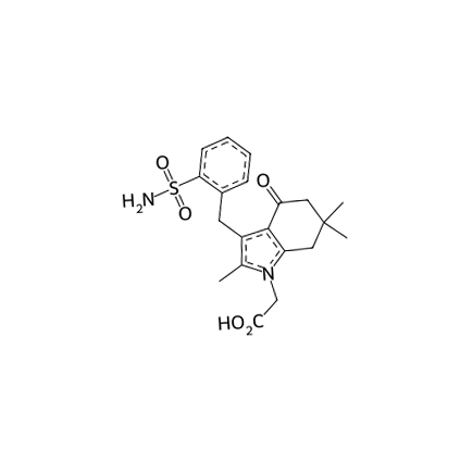 Cc1c(Cc2ccccc2S(N)(=O)=O)c2c(n1CC(=O)O)CC(C)(C)CC2=O